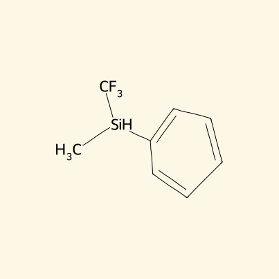 C[SiH](c1ccccc1)C(F)(F)F